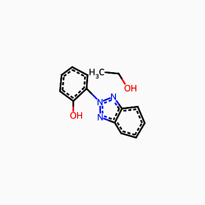 CCO.Oc1ccccc1-n1nc2ccccc2n1